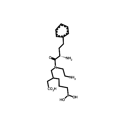 NCCN(CC(CCCB(O)O)CC(=O)O)C(=O)[C@@H](N)CCc1ccccc1